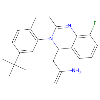 C=C(N)CC1c2cccc(F)c2N=C(C)N1c1cc(C(C)(C)C)ccc1C